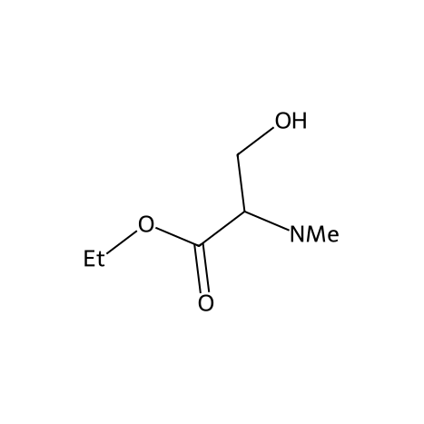 CCOC(=O)C(CO)NC